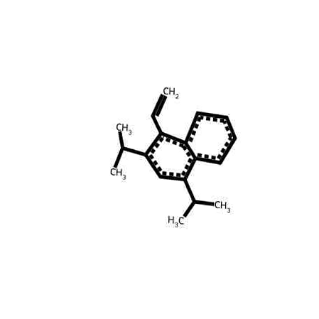 C=Cc1c(C(C)C)cc(C(C)C)c2ccccc12